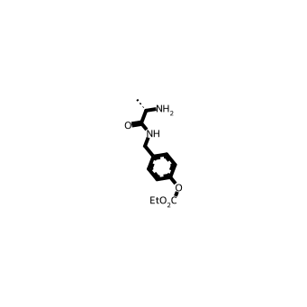 CCOC(=O)Oc1ccc(CNC(=O)[C@H](C)N)cc1